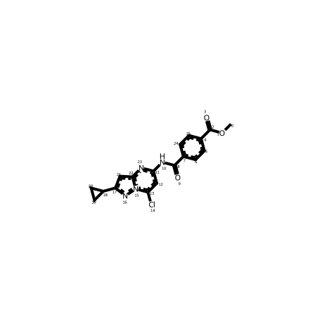 COC(=O)c1ccc(C(=O)Nc2cc(Cl)n3nc(C4CC4)cc3n2)cc1